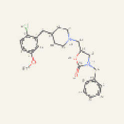 CC(C)Oc1ccc(Cl)c(CC2CCN(CC3CN(Cc4ccccc4)C(=O)O3)CC2)c1